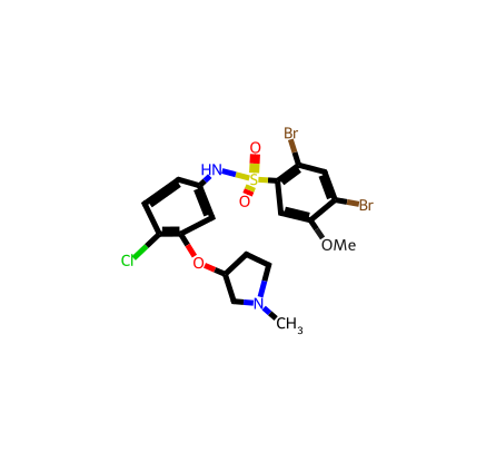 COc1cc(S(=O)(=O)Nc2ccc(Cl)c(OC3CCN(C)C3)c2)c(Br)cc1Br